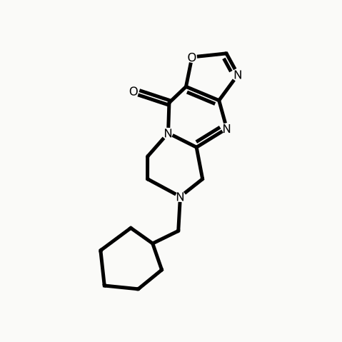 O=c1c2ocnc2nc2n1CCN(CC1CCCCC1)C2